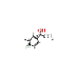 Cc1cc(C(O)C(Cl)(Cl)Cl)ccc1F